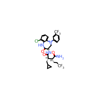 NC(=O)[C@H](CCC(F)(F)F)[C@H](CC1CC1)C(=O)N[C@H]1CN(c2cccc(C(F)(F)F)c2)c2cccc(Cl)c2NC1=O